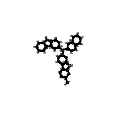 Brc1ccc2c(c1)oc1cc(N(c3ccc4ccccc4c3)c3ccc4sc5ccccc5c4c3)ccc12